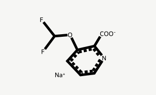 O=C([O-])c1ncccc1OC(F)F.[Na+]